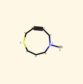 CC(C)N1CC#CCSCCC1